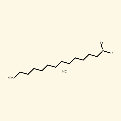 CCCCCCCCCCCCCCCCCCCCCCP(CC)CC.Cl